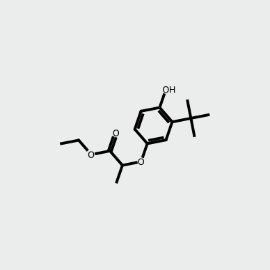 CCOC(=O)C(C)Oc1ccc(O)c(C(C)(C)C)c1